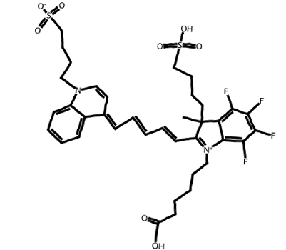 CC1(CCCCS(=O)(=O)O)C(/C=C/C=C/C=C2\C=CN(CCCCS(=O)(=O)[O-])c3ccccc32)=[N+](CCCCCC(=O)O)c2c(F)c(F)c(F)c(F)c21